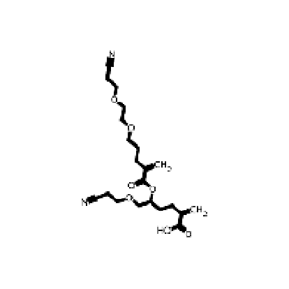 C=C(CCC(COCCC#N)OC(=O)C(=C)CCCOCCOCCC#N)C(=O)O